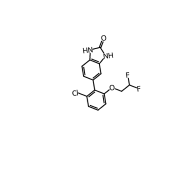 O=c1[nH]c2ccc(-c3c(Cl)cccc3OCC(F)F)cc2[nH]1